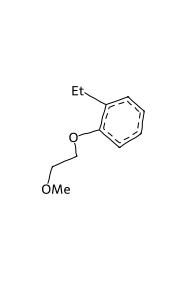 CCc1ccccc1OCCOC